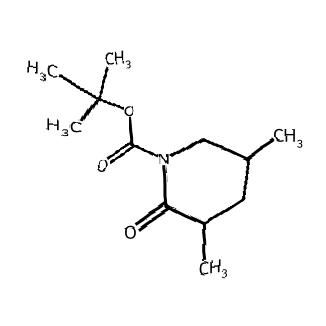 CC1CC(C)C(=O)N(C(=O)OC(C)(C)C)C1